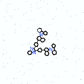 C1=Cc2c(n(-c3ccc(-c4ccc(-c5nc6ccccc6nc5-c5ccc(-c6ccc(-n7c8ccccc8c8ccccc87)c7ccccc67)cc5)cc4)c4ccccc34)c3ccccc23)CC1